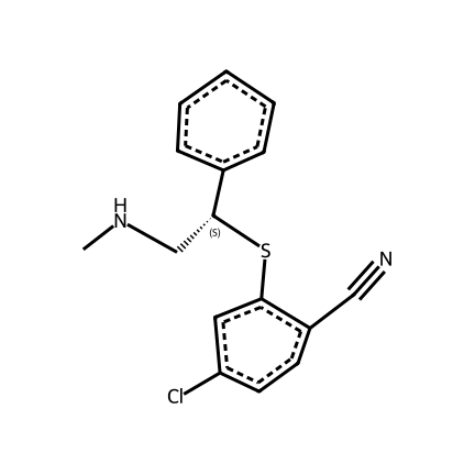 CNC[C@@H](Sc1cc(Cl)ccc1C#N)c1ccccc1